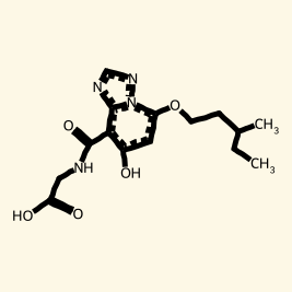 CCC(C)CCOc1cc(O)c(C(=O)NCC(=O)O)c2ncnn12